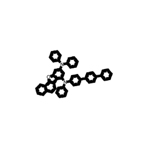 c1ccc(-c2ccc(-c3ccc(N(c4ccccc4)c4cc(N(c5ccccc5)c5ccccc5)cc5oc6c7ccccc7ccc6c45)cc3)cc2)cc1